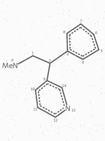 CNCC(c1ccccc1)c1cccnc1